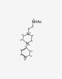 CC(=O)NCCN1CCN(C2=CC=NCC2)CC1